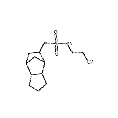 O=S(=O)(CC1CC2CC1C1CCCC21)NCCO